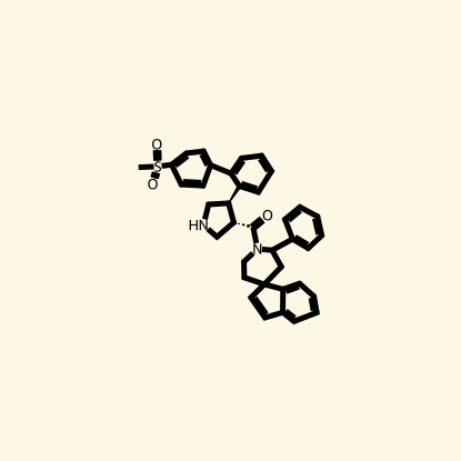 CS(=O)(=O)c1ccc(-c2ccccc2[C@@H]2CNC[C@H]2C(=O)N2CCC3(C=Cc4ccccc43)CC2c2ccccc2)cc1